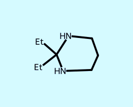 CCC1(CC)NCCCN1